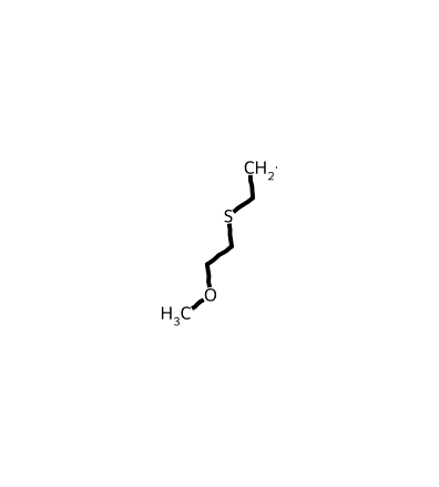 [CH2]CSCCOC